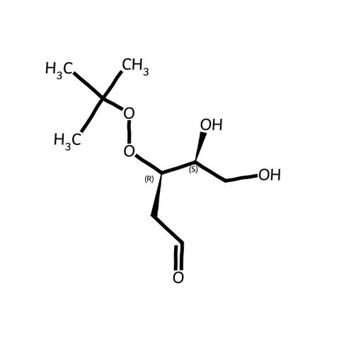 CC(C)(C)OO[C@H](CC=O)[C@@H](O)CO